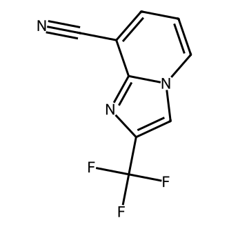 N#Cc1cccn2cc(C(F)(F)F)nc12